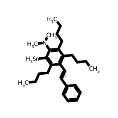 CCCCc1[c]([SnH3])c(N(C)C)c(CCCC)c(CCCC)c1/C=C/c1ccccc1